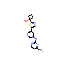 OC1(c2ncc(-c3cncc(Nc4nccc(C(F)(F)F)n4)c3)s2)CCC1